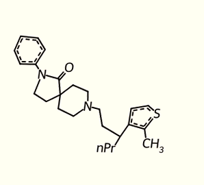 CCCC(CCN1CCC2(CC1)CCN(c1ccccc1)C2=O)c1ccsc1C